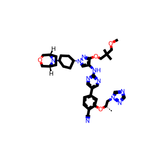 COCC(C)(C)COc1nn([C@H]2CC[C@H](N3[C@@H]4CC[C@H]3COC4)CC2)cc1Nc1ncc(-c2ccc(C#N)c(O[C@@H](C)Cn3cncn3)c2)cn1